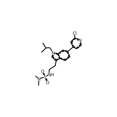 CC(C)Cn1cc(CCNS(=O)(=O)N(C)C)c2ccc(-c3ccnc(Cl)c3)cc21